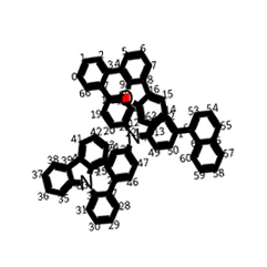 c1ccc(-c2cccc3c2oc2ccccc23)c(-c2ccc(N(c3ccc(-c4ccccc4-n4c5ccccc5c5ccccc54)cc3)c3ccc(-c4cccc5ccccc45)cc3)cc2)c1